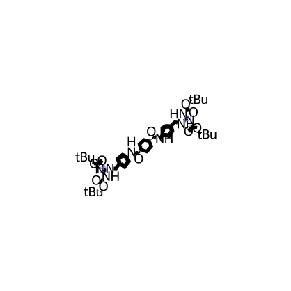 CC(C)(C)OC(=O)/N=C(\NCc1ccc(NC(=O)[C@H]2CC[C@@H](C(=O)Nc3ccc(CN/C(=N\C(=O)OC(C)(C)C)NC(=O)OC(C)(C)C)cc3)CC2)cc1)NC(=O)OC(C)(C)C